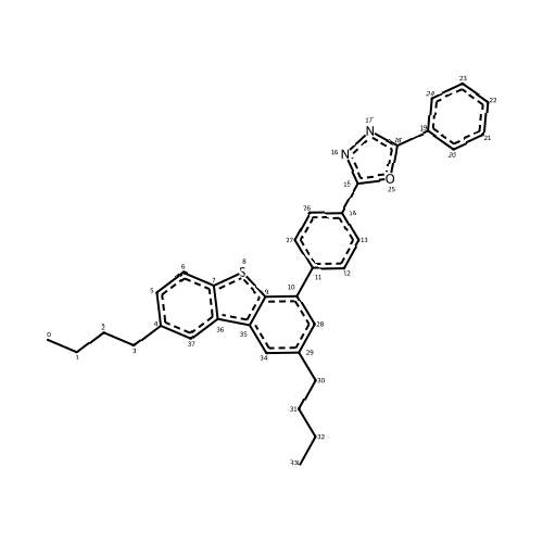 CCCCc1ccc2sc3c(-c4ccc(-c5nnc(-c6ccccc6)o5)cc4)cc(CCCC)cc3c2c1